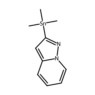 [CH3][Sn]([CH3])([CH3])[c]1cc2ccccn2n1